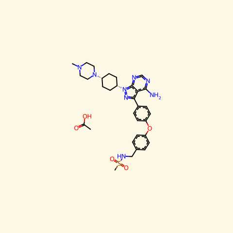 CC(=O)O.CN1CCN([C@H]2CC[C@@H](n3nc(-c4ccc(Oc5ccc(CNS(C)(=O)=O)cc5)cc4)c4c(N)ncnc43)CC2)CC1